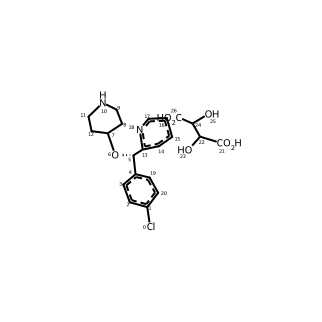 Clc1ccc([C@H](OC2CCNCC2)c2ccccn2)cc1.O=C(O)C(O)C(O)C(=O)O